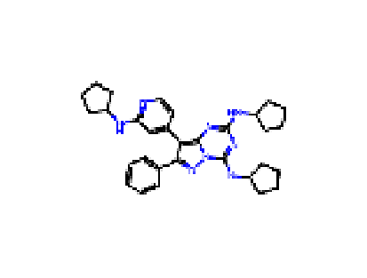 c1ccc(-c2nn3c(NC4CCCC4)nc(NC4CCCC4)nc3c2-c2ccnc(NC3CCCC3)c2)cc1